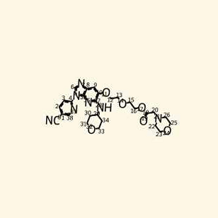 N#Cc1ccc(-n2cnc3cc(OCCOCCOC(=O)CN4CCOCC4)c(NC4CCOCC4)nc32)nc1